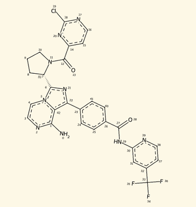 Nc1nccn2c([C@@H]3CCCN3C(=O)c3ccnc(Cl)n3)nc(-c3ccc(C(=O)Nc4cc(C(F)(F)F)ccn4)cc3)c12